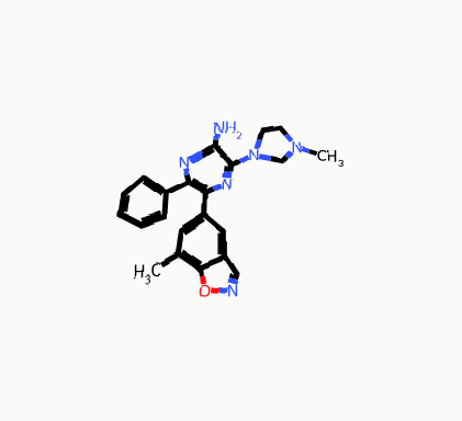 Cc1cc(-c2nc(N3CCN(C)C3)c(N)nc2-c2ccccc2)cc2cnoc12